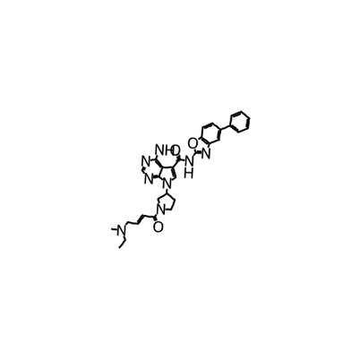 CCN(C)C/C=C/C(=O)N1CCC(n2cc(C(=O)Nc3nc4cc(-c5ccccc5)ccc4o3)c3c(N)ncnc32)C1